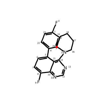 Fc1ccc(-c2ccc(F)c3ncnc(N4CCCCC4)c23)cc1